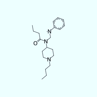 CCCCN1CCC(N(C[N]c2ccccc2)C(=O)CCC)CC1